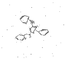 c1ccc(Nc2nc(NCc3ccccn3)nc(-c3ccccc3)n2)cc1